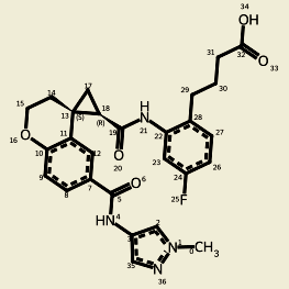 Cn1cc(NC(=O)c2ccc3c(c2)[C@]2(CCO3)C[C@H]2C(=O)Nc2cc(F)ccc2CCCC(=O)O)cn1